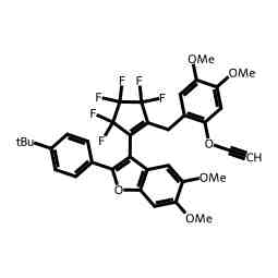 C#COc1cc(OC)c(OC)cc1CC1=C(c2c(-c3ccc(C(C)(C)C)cc3)oc3cc(OC)c(OC)cc23)C(F)(F)C(F)(F)C1(F)F